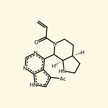 C=CC(=O)N1CC[C@H]2CCN[C@H]2C1c1ncnc2[nH]cc(C(C)=O)c12